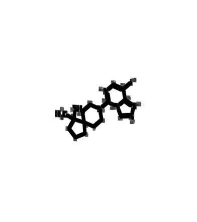 CC1(N)CCCC12CCN(c1ncc(I)c3nncn13)CC2